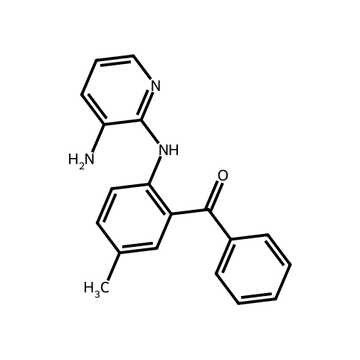 Cc1ccc(Nc2ncccc2N)c(C(=O)c2ccccc2)c1